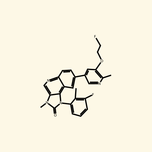 Cc1ncc(-c2ccc3ncc4c(c3c2)n(-c2cccc(F)c2C)c(=O)n4C)cc1OCCF